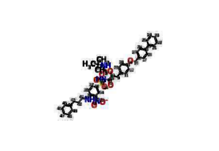 CC(C)(C)NC(=O)O[C@@H](Cc1ccc(OCc2ccc(-c3ccccc3)cc2)cc1)C(=O)NS(=O)(=O)c1ccc(NCCCc2ccccc2)c([N+](=O)[O-])c1